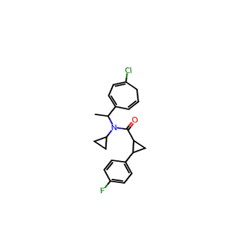 CC(C1=CC=C(Cl)CC=C1)N(C(=O)C1CC1c1ccc(F)cc1)C1CC1